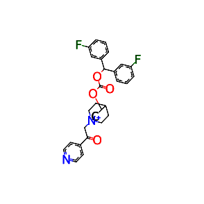 O=C(OC(c1cccc(F)c1)c1cccc(F)c1)OC1C[N+]2(CC(=O)c3ccncc3)CCC1CC2